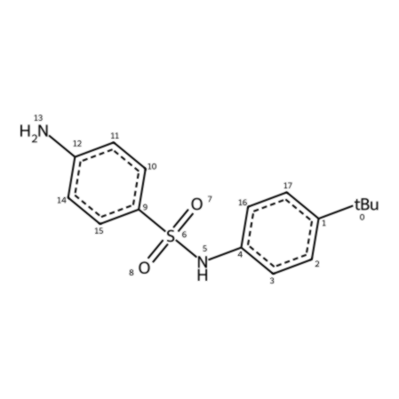 CC(C)(C)c1ccc(NS(=O)(=O)c2ccc(N)cc2)cc1